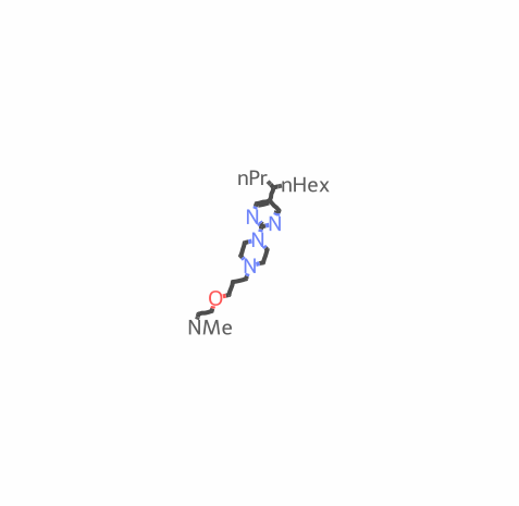 CCCCCCC(CCC)c1cnc(N2CCN(CCCOCCNC)CC2)nc1